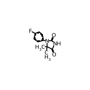 CC1(C)C(=O)NC(=O)N1c1ccc(F)cc1